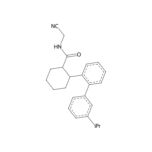 CC(C)c1cccc(-c2ccccc2C2CCCCC2C(=O)NCC#N)c1